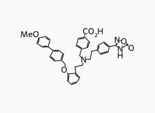 COc1ccc(-c2ccc(COc3ccccc3CCN(CCc3ccc(-c4noc(=O)[nH]4)cc3)Cc3ccc(C(=O)O)cc3)cc2)cc1